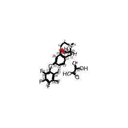 CN1CC[C@]23CCCC[C@H]2[C@H]1Cc1ccc(Oc2c(F)c(F)c(F)c(F)c2F)cc13.O=C(O)C(=O)O